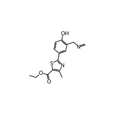 C=NCc1cc(-c2nc(C)c(C(=O)OCC)s2)ccc1O